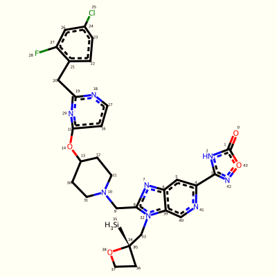 O=c1[nH]c(-c2cc3nc(CN4CCC(Oc5ccnc(Cc6ccc(Cl)cc6F)n5)CC4)n(C[C@]4([SiH3])CCO4)c3cn2)no1